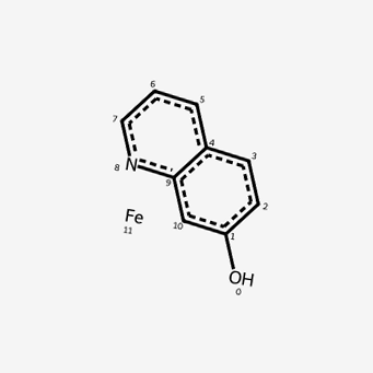 Oc1ccc2cccnc2c1.[Fe]